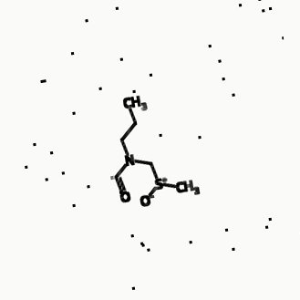 CCCN([C]=O)C[S+](C)[O-]